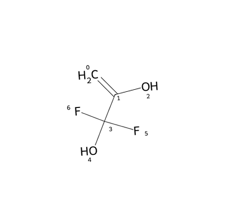 C=C(O)C(O)(F)F